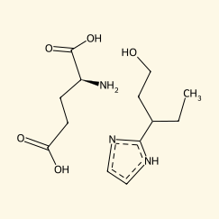 CCC(CCO)c1ncc[nH]1.N[C@@H](CCC(=O)O)C(=O)O